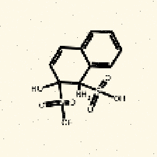 NC1(S(=O)(=O)O)c2ccccc2C=CC1(O)S(=O)(=O)O